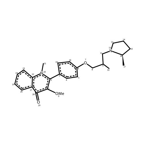 COc1c(-c2ccc(OCC(C)CN3CCC[C@H]3C)cc2)n(C)c2ccccc2c1=O